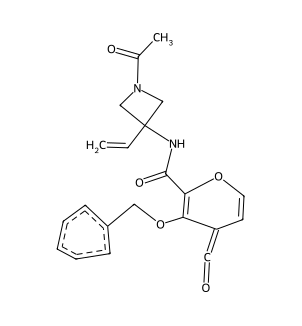 C=CC1(NC(=O)C2=C(OCc3ccccc3)C(=C=O)C=CO2)CN(C(C)=O)C1